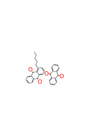 CCCCCc1cccc2c1C(=O)c1ccccc1C2=O.O=C1c2ccccc2C(=O)c2ccccc21